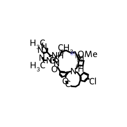 CO[C@H]1/C=C/C[C@H](C)CS(=O)(Nc2nc(C)nc3nn(C)cc23)=NC(=O)c2ccc3c(c2)N(Cc2ccc(Cl)cc2CCCCO3)C[C@@H]2CC[C@H]21